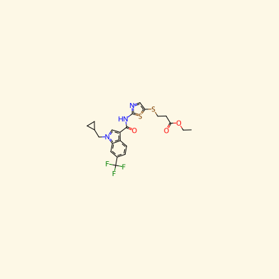 CCOC(=O)CCSc1cnc(NC(=O)c2cn(CC3CC3)c3cc(C(F)(F)F)ccc23)s1